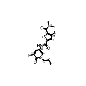 CN(C)C(=O)c1sc(C(=O)Nc2cc(F)c(=O)n(CCF)c2)cc1Cl